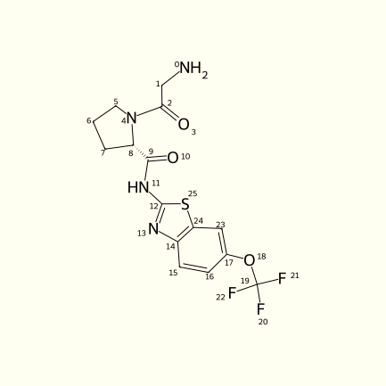 NCC(=O)N1CCC[C@H]1C(=O)Nc1nc2ccc(OC(F)(F)F)cc2s1